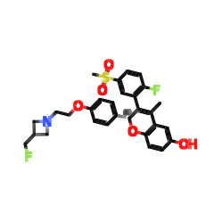 CC1=C(c2cc(S(C)(=O)=O)ccc2F)[C@@H](c2ccc(OCCN3CC(CF)C3)cc2)Oc2ccc(O)cc21